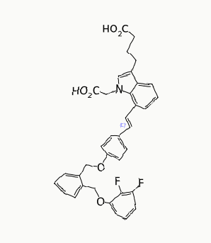 O=C(O)CCCc1cn(CC(=O)O)c2c(/C=C/c3ccc(OCc4ccccc4COc4cccc(F)c4F)cc3)cccc12